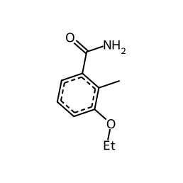 CCOc1cccc(C(N)=O)c1C